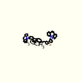 CC1(C)c2cc(/C=C/c3ccc4sc5ccc(N6c7ccccc7C=Cc7ccccc76)cc5c4c3)ccc2-c2ccc(N3c4ccccc4C=Cc4ccccc43)cc21